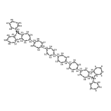 c1ccc(-n2c3ccccc3c3cc(-c4ccc(-c5ccc(-c6ccc(-c7ccc(-c8ccc9c(c8)c8ccccc8n9-c8ccccc8)cc7)cc6)cc5)cc4)ccc32)cc1